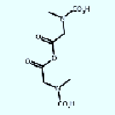 CN(CC(=O)OC(=O)CN(C)C(=O)O)C(=O)O